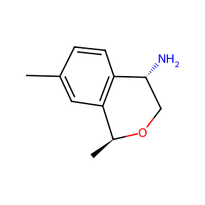 Cc1ccc2c(c1)[C@H](C)OC[C@H]2N